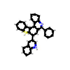 c1ccc(-c2nc3ccccc3c3c2cc(-c2cnc4ccccc4c2)c2sc4ccccc4c23)cc1